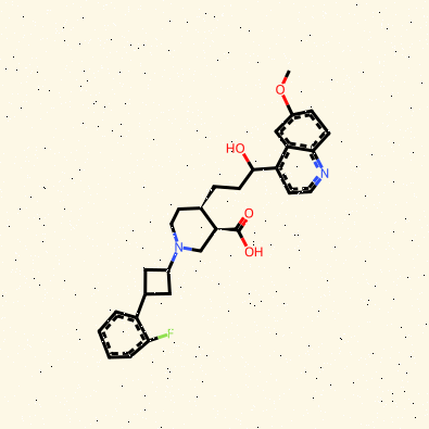 COc1ccc2nccc(C(O)CC[C@@H]3CCN(C4CC(c5ccccc5F)C4)C[C@@H]3C(=O)O)c2c1